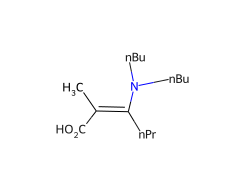 CCCCN(CCCC)/C(CCC)=C(\C)C(=O)O